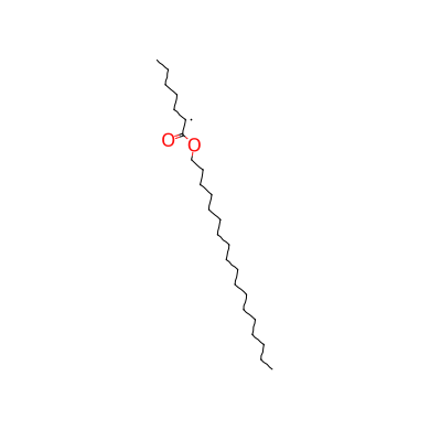 CCCCC[CH]C(=O)OCCCCCCCCCCCCCCCCCC